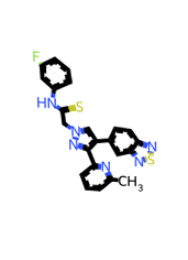 Cc1cccc(-c2nn(CC(=S)Nc3cccc(F)c3)cc2-c2ccc3nsnc3c2)n1